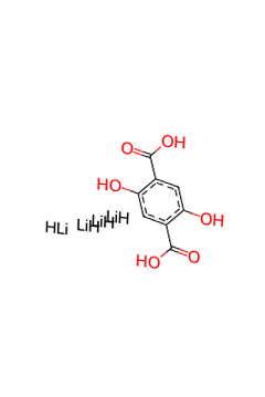 O=C(O)c1cc(O)c(C(=O)O)cc1O.[LiH].[LiH].[LiH].[LiH]